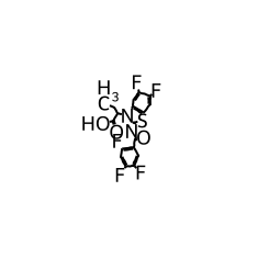 CCC(C(=O)O)n1c(=NC(=O)c2cc(F)c(F)cc2F)sc2cc(F)c(F)cc21